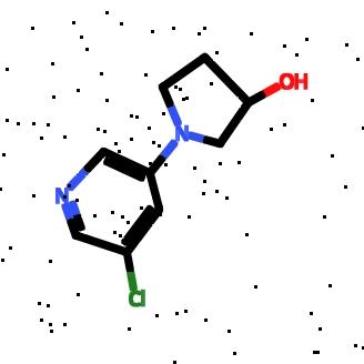 OC1CCN(c2cncc(Cl)c2)C1